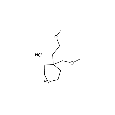 COCCC1(COC)CCNCC1.Cl